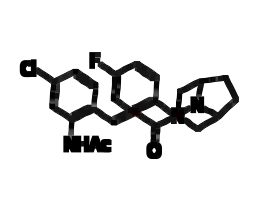 CC(=O)Nc1cc(Cl)ccc1/C=C/C(=O)N1CC2CCC(C1)N2Cc1ccc(F)cc1